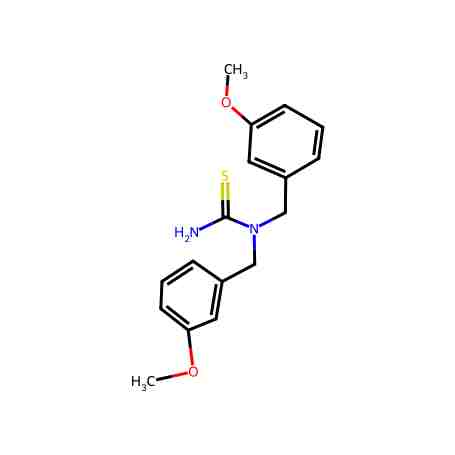 COc1cccc(CN(Cc2cccc(OC)c2)C(N)=S)c1